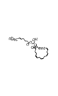 CCCCC/C=C\C/C=C\C/C=C\C/C=C\CCCC(=O)OC(CO)COC(=O)CCCCCCCCCCCCCCC